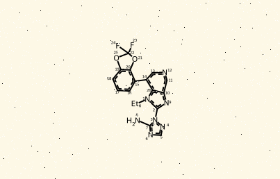 CCn1c(-n2ncnc2N)nc2cncc(-c3cccc4c3OC(F)(F)O4)c21